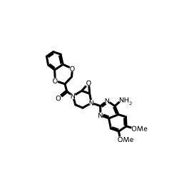 COc1cc2nc(N3CCN(C(=O)C4COc5ccccc5O4)C4OC43)nc(N)c2cc1OC